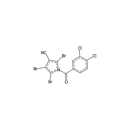 N#Cc1c(Br)c(Br)n(C(=O)c2ccc(Cl)c(Cl)c2)c1Br